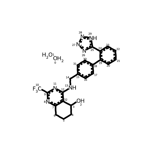 O.O.OC1CCCc2nc(C(F)(F)F)nc(NCc3ccc(-c4ccccc4-c4nnn[nH]4)cc3)c21